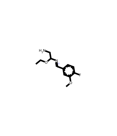 CCOC(CN)/N=C/c1ccc(F)c(OC)c1